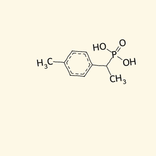 Cc1ccc(C(C)P(=O)(O)O)cc1